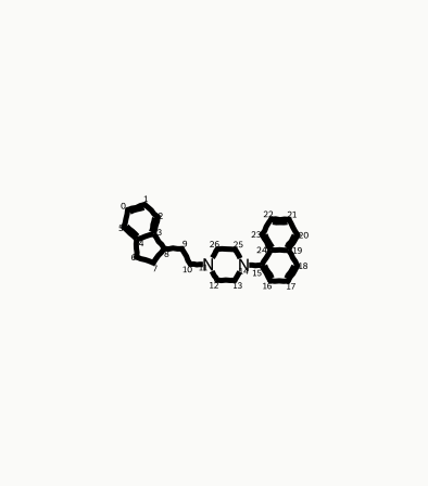 c1ccc2c(c1)CCC2CCN1CCN(c2cccc3ccccc23)CC1